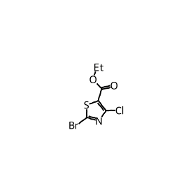 CCOC(=O)c1sc(Br)nc1Cl